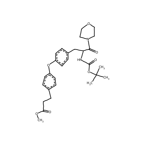 COC(=O)CCc1ccc(Oc2ccc(CC(NC(=O)OC(C)(C)C)C(=O)N3CCOCC3)cc2)cc1